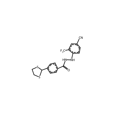 N#Cc1ccc(NNC(=O)c2ccc(C3SCCS3)cc2)c(C(F)(F)F)c1